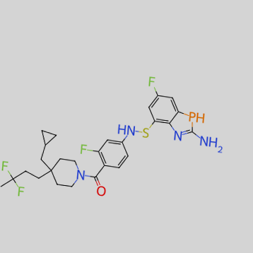 CC(F)(F)CCC1(CC2CC2)CCN(C(=O)c2ccc(NSc3cc(F)cc4[pH]c(N)nc34)cc2F)CC1